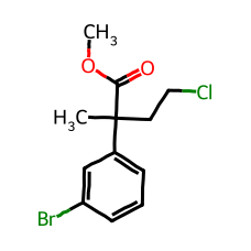 COC(=O)C(C)(CCCl)c1cccc(Br)c1